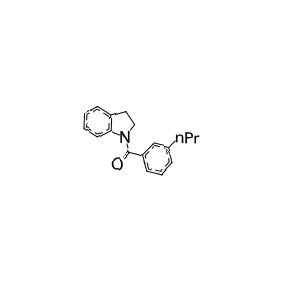 CCCc1cccc(C(=O)N2CCc3ccccc32)c1